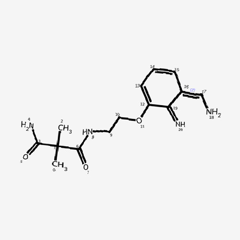 CC(C)(C(N)=O)C(=O)NCCOC1=CC=C/C(=C/N)C1=N